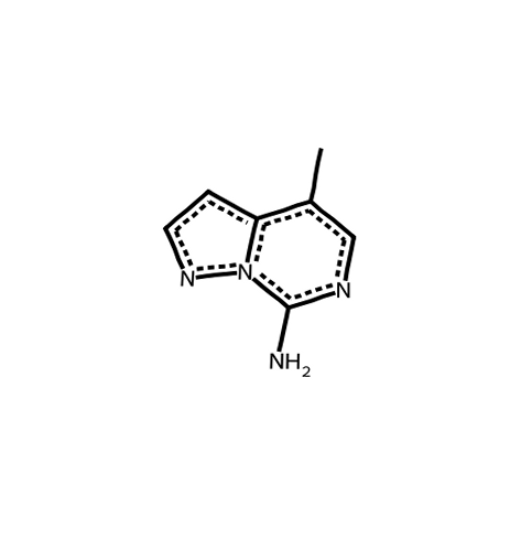 Cc1cnc(N)n2nccc12